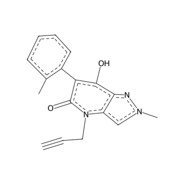 C#CCn1c(=O)c(-c2ccccc2C)c(O)c2nn(C)cc21